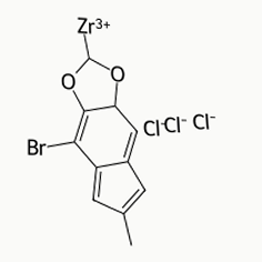 CC1=CC2=CC3O[CH]([Zr+3])OC3=C(Br)C2=C1.[Cl-].[Cl-].[Cl-]